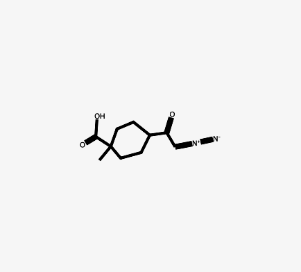 CC1(C(=O)O)CCC(C(=O)C=[N+]=[N-])CC1